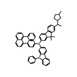 CC1CCC(C(C)c2ccc3c(c2)C(C)(C)c2cc(N(c4ccc(-c5cccc6cccc(-c7ccccc7)c56)cc4)c4ccc5c6ccccc6n(-c6ccccc6)c5c4)ccc2-3)C1